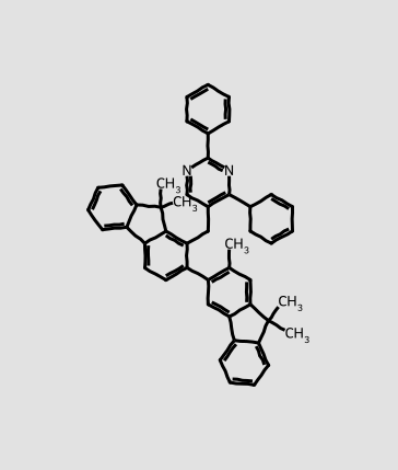 Cc1cc2c(cc1-c1ccc3c(c1Cc1cnc(-c4ccccc4)nc1C1C=CC=CC1)C(C)(C)c1ccccc1-3)-c1ccccc1C2(C)C